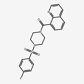 O=C(c1cccc2cccnc12)N1CCN(S(=O)(=O)c2ccc(F)cc2)CC1